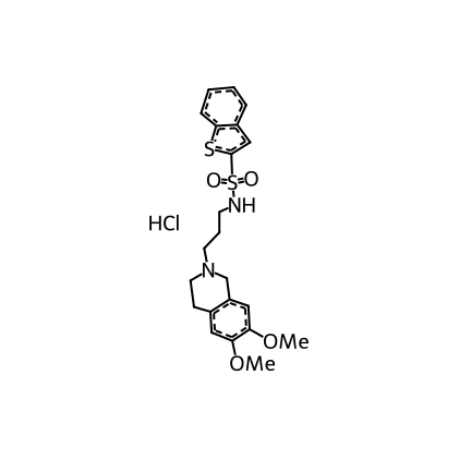 COc1cc2c(cc1OC)CN(CCCNS(=O)(=O)c1cc3ccccc3s1)CC2.Cl